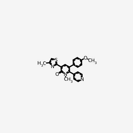 COc1ccc(-c2cc(-c3nc(C)cs3)c(=O)n(C)c2-c2ccncc2)cc1